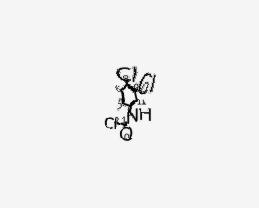 O=C(Cl)Nc1ccc(Cl)c(Cl)c1